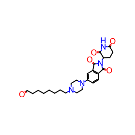 O=CCCCCCCCN1CCN(c2ccc3c(c2)C(=O)N(C2CCC(=O)NC2=O)C3=O)CC1